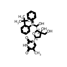 Cc1cn([C@H]2C[C@@](O)(CO)[C@@H](C(O)[SiH](c3ccccc3)c3ccccc3C(C)(C)C)O2)c(=O)[nH]c1=O